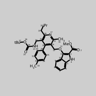 COC(=O)c1[nH]c2ccccc2c1OCc1c(C)nc(CC(C)C)c(CNC(=O)OC(C)(C)C)c1-c1ccc(C)cc1